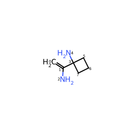 C=C(N)C1(N)CCC1